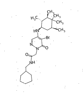 C[C@@H]1[C@@H](C)C(C)(C)[C@@H](C)C[C@H]1Nc1cnn(CC(=O)NCC2CCCCC2)c(=O)c1Br